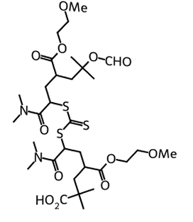 COCCOC(=O)C(CC(SC(=S)SC(CC(CC(C)(C)C(=O)O)C(=O)OCCOC)C(=O)N(C)C)C(=O)N(C)C)CC(C)(C)OC=O